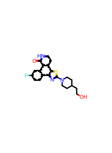 O=c1[nH]ccc2c3sc(N4CCC(CCO)CC4)nc3c3ccc(F)cc3c12